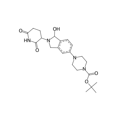 CC(C)(C)OC(=O)N1CCN(c2ccc3c(c2)CN(C2CCC(=O)NC2=O)C3O)CC1